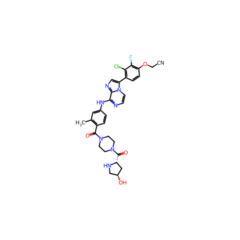 Cc1cc(Nc2nccn3c(-c4ccc(OCC#N)c(F)c4Cl)cnc23)ccc1C(=O)N1CCN(C(=O)[C@@H]2C[C@@H](O)CN2)CC1